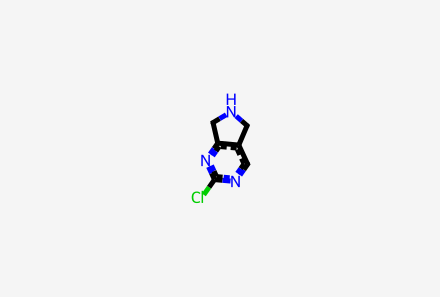 Clc1ncc2c(n1)CNC2